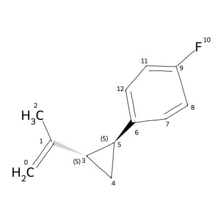 C=C(C)[C@H]1C[C@@H]1c1ccc(F)cc1